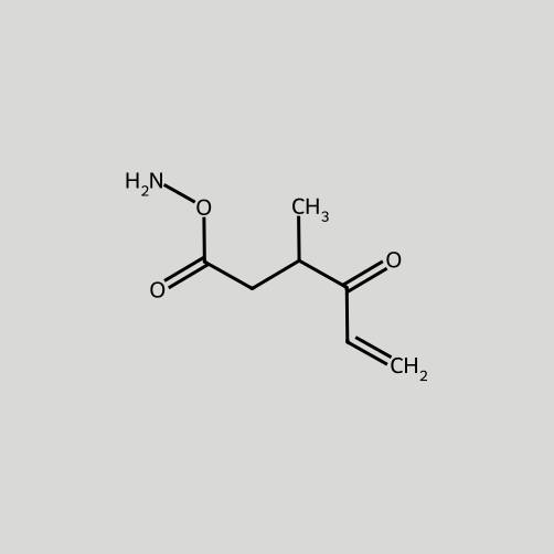 C=CC(=O)C(C)CC(=O)ON